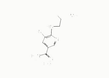 CO[C@@H](C)CNc1ncc(C(N)=NO)cc1[N+](=O)[O-]